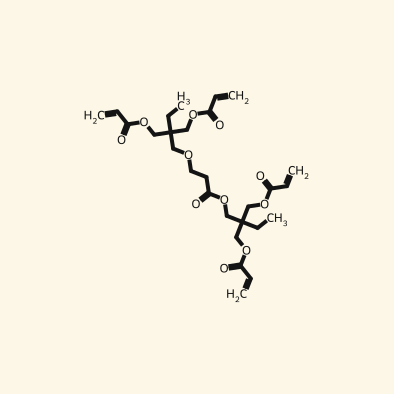 C=CC(=O)OCC(CC)(COCCC(=O)OCC(CC)(COC(=O)C=C)COC(=O)C=C)COC(=O)C=C